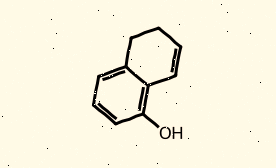 Oc1cccc2c1C=CCC2